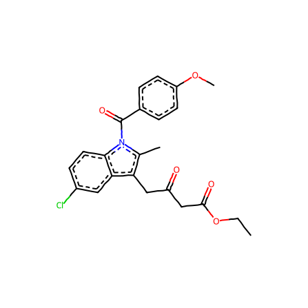 CCOC(=O)CC(=O)Cc1c(C)n(C(=O)c2ccc(OC)cc2)c2ccc(Cl)cc12